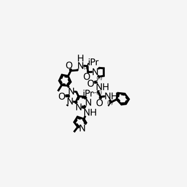 Cc1ccc(Nc2ncc3c(n2)N(C)C(=O)N(c2cc(C(=O)CN[C@H](C(=O)N4CCC[C@@H]4C(=O)N[C@H](C(=O)N[C@H](C)c4ccccc4)C(C)C)C(C)C)ccc2C)C3)cn1